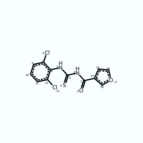 O=C(NC(=S)Nc1c(Cl)cccc1Cl)c1ccoc1